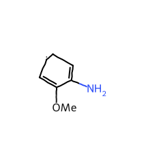 COC1=C[CH]CC=C1N